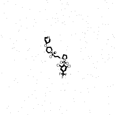 O=S(=O)(CCC[C@@H]1CCCN1S(=O)(=O)c1c(Cl)cc(C(F)(F)F)cc1Cl)N1CCC(Oc2ccncc2)CC1